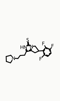 Fc1ccc(F)c(C2Cc3c(CCCN4CCCC4)[nH]c(=S)n3C2)c1F